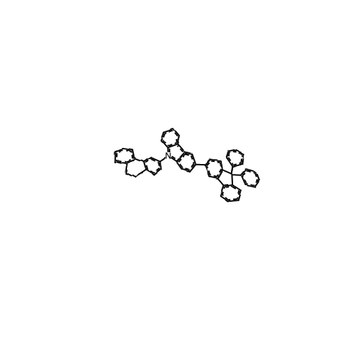 c1ccc(C2(c3ccccc3)c3ccccc3-c3cc(-c4ccc5c(c4)c4ccccc4n5-c4ccc5c(c4)-c4ccccc4CC5)ccc32)cc1